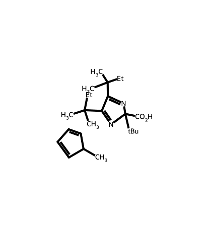 CC1C=CC=C1.CCC(C)(C)C1=NC(C(=O)O)(C(C)(C)C)N=C1C(C)(C)CC